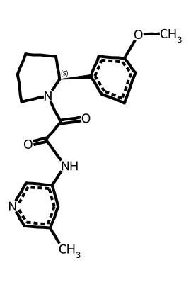 COc1cccc([C@@H]2CCCCN2C(=O)C(=O)Nc2cncc(C)c2)c1